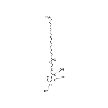 CCCCCCCCC=CCCCCCCCC(=O)OCCOCC(OCCO)C1OCC(OCCO)C1OCCO